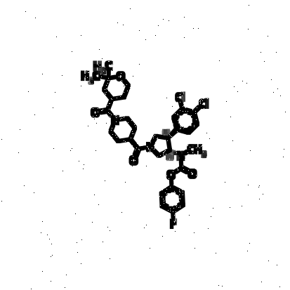 CN(C(=O)Oc1ccc(F)cc1)[C@@H]1CN(C(=O)C2CCN(C(=O)C3CCOC(C)(C)C3)CC2)C[C@H]1c1ccc(Cl)c(Cl)c1